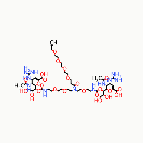 C#CCOCCOCCOCCOCCC(=O)N(CCOCCNC(=O)O[C@@H]([C@@H]1OC(C(=O)O)=C[C@H](NC(=N)N)[C@H]1NC(C)=O)[C@H](O)CO)CCOCCOCCNC(=O)O[C@@H]([C@@H]1OC(C(=O)O)=C[C@H](NC(=N)N)[C@H]1NC(C)=O)[C@H](O)CO